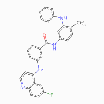 Cc1ccc(NC(=O)c2cccc(Nc3ccnc4ccc(F)cc34)c2)cc1Nc1ccccc1